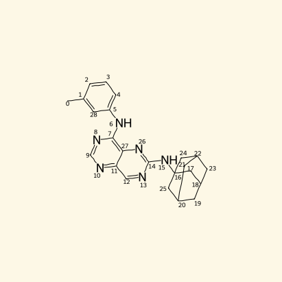 Cc1cccc(Nc2ncnc3cnc(NC45CC6CC(CC(C6)C4)C5)nc23)c1